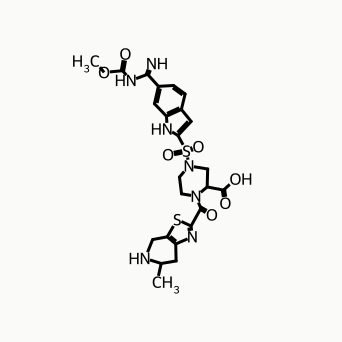 COC(=O)NC(=N)c1ccc2cc(S(=O)(=O)N3CCN(C(=O)c4nc5c(s4)CNC(C)C5)C(C(=O)O)C3)[nH]c2c1